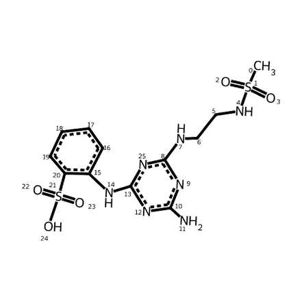 CS(=O)(=O)NCCNc1nc(N)nc(Nc2ccccc2S(=O)(=O)O)n1